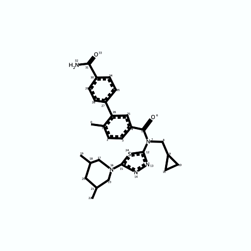 Cc1ccc(C(=O)N(CC2CC2)c2nnc(N3CC(C)CC(C)C3)s2)cc1-c1ccc(C(N)=O)cc1